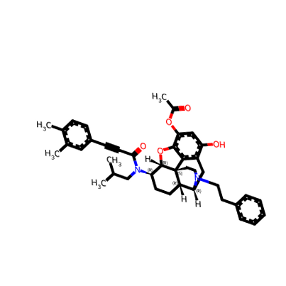 CC(=O)Oc1cc(O)c2c3c1O[C@H]1[C@H](N(CC(C)C)C(=O)C#Cc4ccc(C)c(C)c4)CC[C@H]4[C@@H](C2)N(CCc2ccccc2)CC[C@@]341